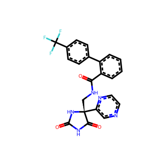 O=C1NC(=O)[C@@](CNC(=O)c2ccccc2-c2ccc(C(F)(F)F)cc2)(c2cnccn2)N1